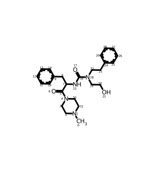 CN1CCN(C(=O)C(Cc2ccccc2)NC(=O)N(CCO)CCc2ccccc2)CC1